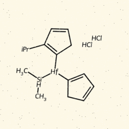 CC(C)C1=[C]([Hf]([C]2=CC=CC2)[SiH](C)C)CC=C1.Cl.Cl